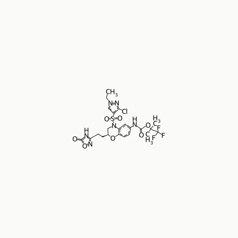 CCn1cc(S(=O)(=O)N2C[C@H](CCc3noc(=O)[nH]3)Oc3ccc(NC(=O)OC(C)(C)C(F)(F)F)cc32)c(Cl)n1